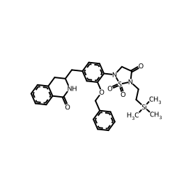 C[Si](C)(C)CCN1C(=O)CN(c2ccc(CC3Cc4ccccc4C(=O)N3)cc2OCc2ccccc2)S1(=O)=O